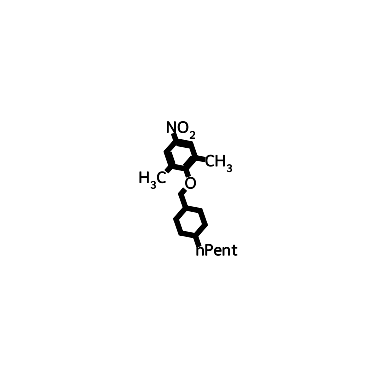 CCCCCC1CCC(COc2c(C)cc([N+](=O)[O-])cc2C)CC1